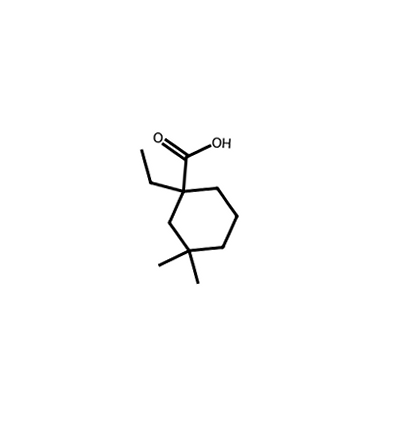 CCC1(C(=O)O)CCCC(C)(C)C1